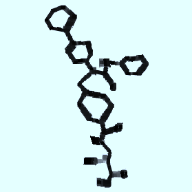 O=C(NC[C@@H](O)C(=O)O)c1ccc(CN(C(=O)Nc2ccccc2)c2ccc(C3=CCCCC3)cc2)cc1